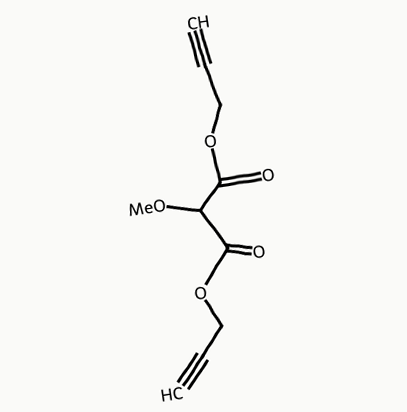 C#CCOC(=O)C(OC)C(=O)OCC#C